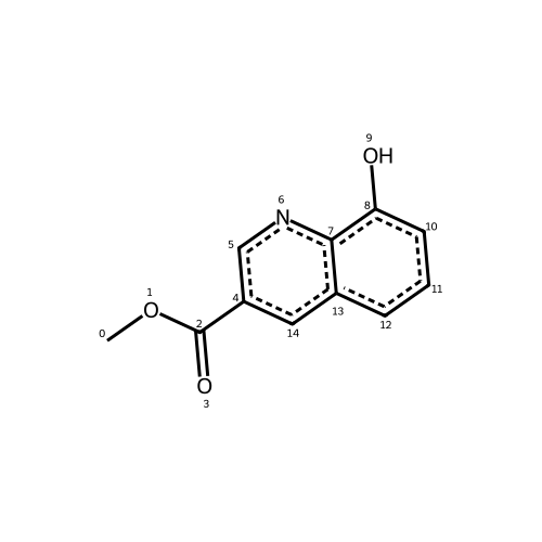 COC(=O)c1cnc2c(O)cccc2c1